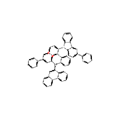 c1ccc(-c2cccc(N(c3ccccc3-c3ccccc3-n3c4ccccc4c4cc(-c5ccccc5)ccc43)c3cc4ccccc4c4ccccc34)c2)cc1